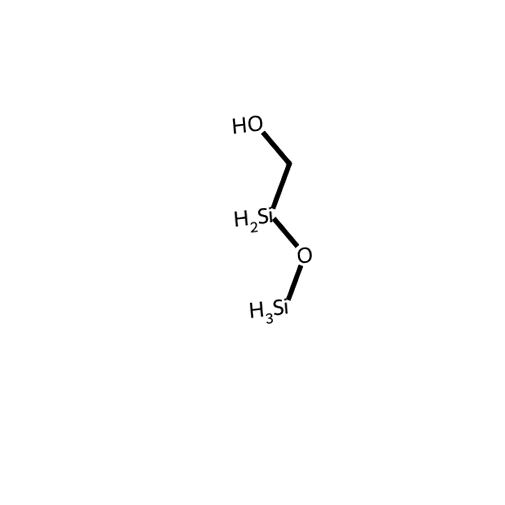 OC[SiH2]O[SiH3]